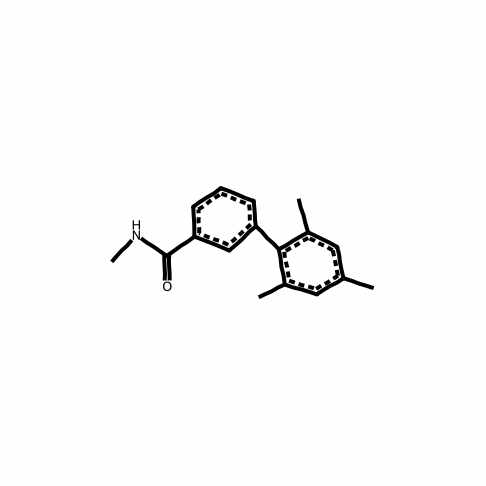 CNC(=O)c1cccc(-c2c(C)cc(C)cc2C)c1